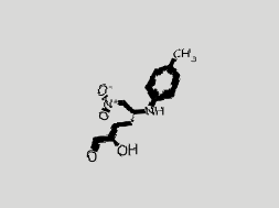 Cc1ccc(N[C@H](CC[C@@H](O)C=O)C[N+](=O)[O-])cc1